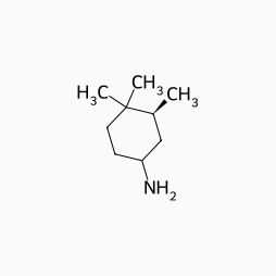 C[C@H]1CC(N)CCC1(C)C